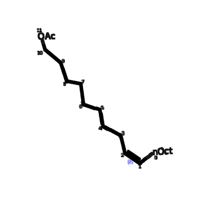 CCCCCCCC/C=C\CCCCCCCCOC(C)=O